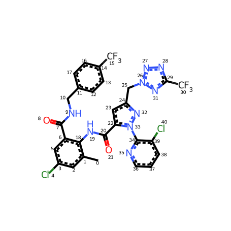 Cc1cc(Cl)cc(C(=O)NCc2ccc(C(F)(F)F)cc2)c1NC(=O)c1cc(Cn2nnc(C(F)(F)F)n2)nn1-c1ncccc1Cl